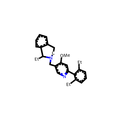 CCc1cccc(CC)c1-c1cc(OC)c(CN2CCc3ccccc3C2CC)cn1